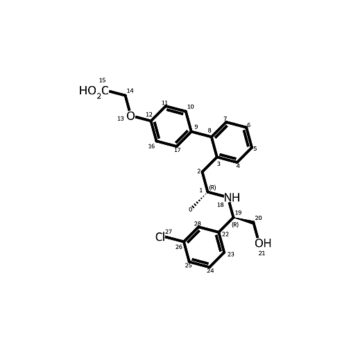 C[C@H](Cc1ccccc1-c1ccc(OCC(=O)O)cc1)N[C@@H](CO)c1cccc(Cl)c1